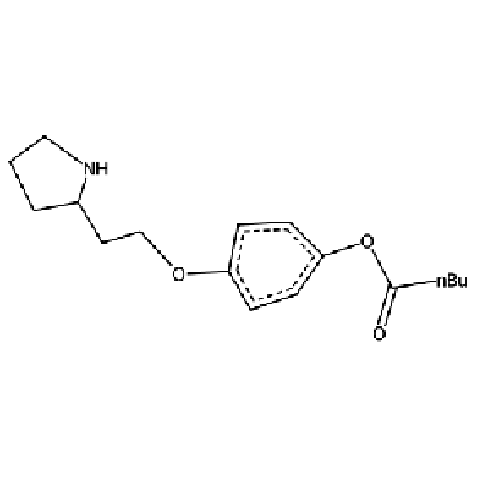 CCCCC(=O)Oc1ccc(OCCC2CCCN2)cc1